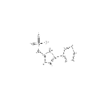 O=S(=O)(Cl)Oc1nnc(-c2ccccc2)[nH]1